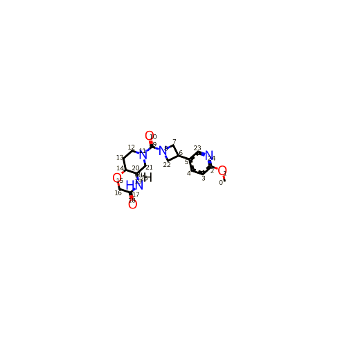 COc1ccc(C2CN(C(=O)N3CCC4OCC(=O)N[C@@H]4C3)C2)cn1